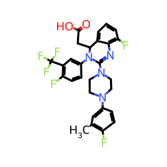 Cc1cc(N2CCN(C3=Nc4c(F)cccc4C(CC(=O)O)N3c3ccc(F)c(C(F)(F)F)c3)CC2)ccc1F